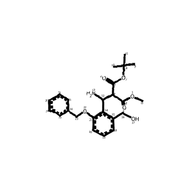 COC(=O)C(C(=O)OC(C)(C)C)C(N)c1c(CO)cccc1OCc1ccccc1